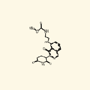 CC(C)(C)OC(=O)NCCNc1cccc2cnn(C3CCC(=O)NC3=O)c(=O)c12